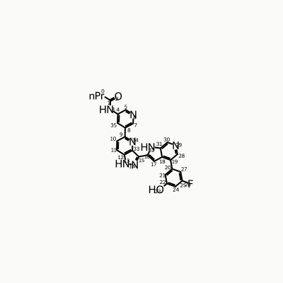 CCCC(=O)Nc1cncc(-c2ccc3[nH]nc(-c4cc5c(-c6cc(O)cc(F)c6)cncc5[nH]4)c3n2)c1